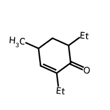 CCC1=CC(C)CC(CC)C1=O